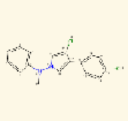 CN(c1ccccc1)n1cc(Cl)c(-c2ccc(Cl)cc2)c1